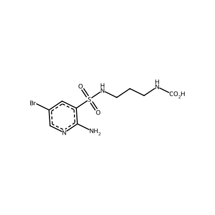 Nc1ncc(Br)cc1S(=O)(=O)NCCCNC(=O)O